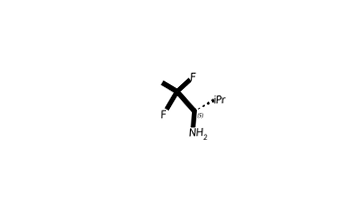 CC(C)[C@H](N)C(C)(F)F